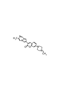 CCN1CCN(c2ccc3cc(-c4cc5cnc(C)cn5c4)c(=O)oc3c2)CC1